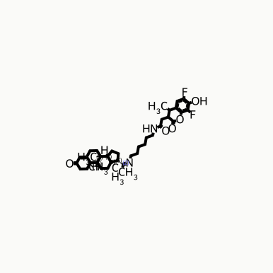 C/C(=N/CCCCCCNC(=O)CC1C(=O)Oc2c(cc(F)c(O)c2F)C1C)[C@H]1CC[C@@H]2[C@]1(C)CC[C@H]1[C@@]2(C)CCC2=CC(=O)CC[C@@]21C